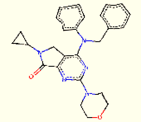 O=C1c2nc(N3CCOCC3)nc(N(Cc3ccccc3)c3ccccc3)c2CN1C1CC1